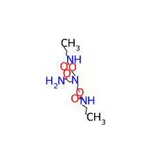 CCCCNC(=O)OCCN(CCOC(=O)NCCCC)CC(N)=O